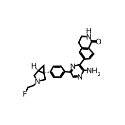 Nc1ncc(-c2ccc([C@@]34C[C@@H]3CN(CCF)C4)cc2)nc1-c1ccc2c(c1)CCNC2=O